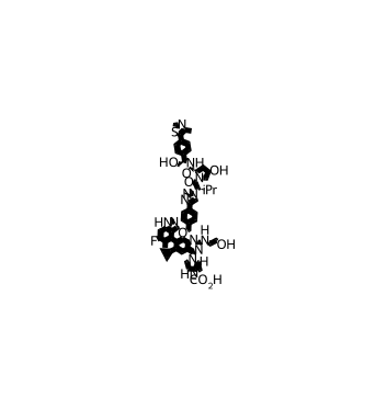 Cc1ncsc1-c1ccc([C@H](CO)NC(=O)[C@@H]2C[C@@H](O)CN2C(=O)[C@H](C(C)C)n2cc(-c3ccc(COc4c(-c5c(C)c(F)cc6[nH]ncc56)c(C5CC5)cc5c(N6C[C@@H]7C[C@H]6CN7C(=O)O)nc(NCCO)nc45)cc3)nn2)cc1